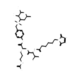 CC1CC([N+](C)(C)Cc2ccc(NC(=O)[C@H](CCCNC(N)=O)NC(=O)[C@@H](NC(=O)CCCCCN3C(=O)C=CC3=O)C(C)C)cc2)C(O)C(O)O1